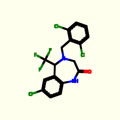 O=C1CN(Cc2c(Cl)cccc2Cl)C(C(F)(F)F)c2cc(Cl)ccc2N1